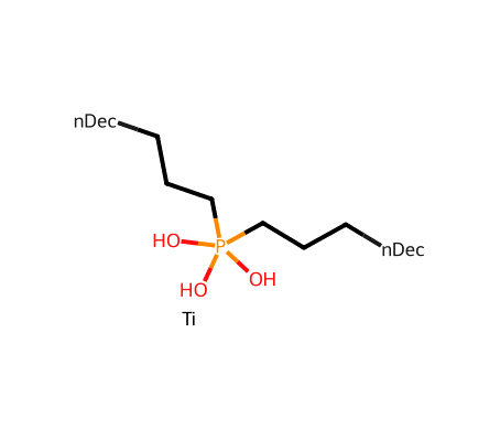 CCCCCCCCCCCCCP(O)(O)(O)CCCCCCCCCCCCC.[Ti]